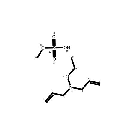 C=CCN(CC=C)OCC.COS(=O)(=O)O